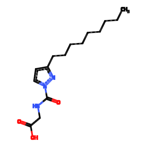 CCCCCCCCCc1ccn(C(=O)NCC(=O)O)n1